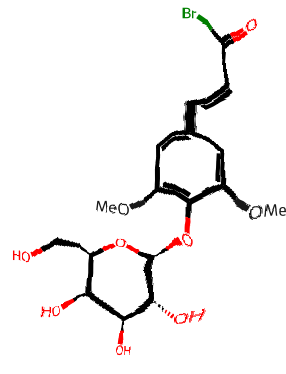 COc1cc(C=CC(=O)Br)cc(OC)c1O[C@@H]1O[C@H](CO)[C@H](O)[C@H](O)[C@H]1O